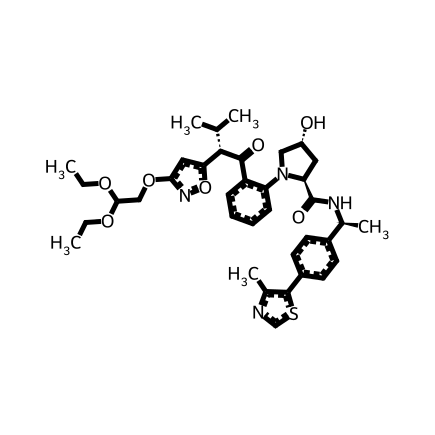 CCOC(COc1cc([C@@H](C(=O)c2ccccc2N2C[C@H](O)C[C@H]2C(=O)N[C@@H](C)c2ccc(-c3scnc3C)cc2)C(C)C)on1)OCC